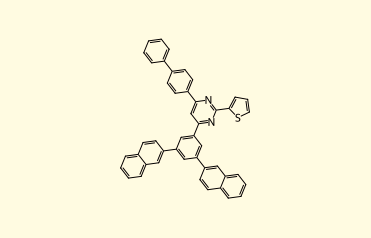 c1ccc(-c2ccc(-c3cc(-c4cc(-c5ccc6ccccc6c5)cc(-c5ccc6ccccc6c5)c4)nc(-c4cccs4)n3)cc2)cc1